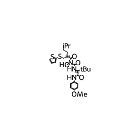 COc1ccc(NC(=O)[C@@H](NC(=O)N(O)C(=O)[C@H](CCC(C)C)CSc2cccs2)C(C)(C)C)cc1